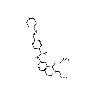 COCCC1c2cc(NC(=O)c3ccc(C=NN4CCSCC4)cc3)ccc2CCN1CC(=O)O